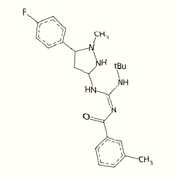 Cc1cccc(C(=O)/N=C(\NC2CC(c3ccc(F)cc3)N(C)N2)NC(C)(C)C)c1